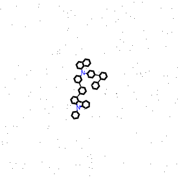 c1ccc(-c2ccccc2-c2ccc(N(c3cccc(-c4cccc(-c5cccc6c5c5ccccc5n6-c5ccccc5)c4)c3)c3cccc4ccccc34)cc2)cc1